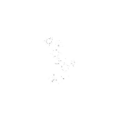 Cn1cnnc1C(F)(F)[C@](C)(F)c1cccc(N2Cc3c(cc(CN4CC[C@@H](S(C)(=O)=O)C4)cc3C(F)(F)F)C2=O)c1